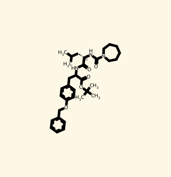 CC(C)C[C@H](NC(=O)N1CCCCCC1)C(=O)NC(Cc1ccc(OCc2ccccc2)cc1)C(=O)OC(C)(C)C